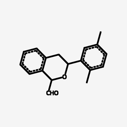 Cc1ccc(C)c(C2Cc3ccccc3C(C=O)O2)c1